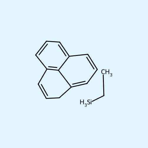 C1=Cc2cccc3cccc(c23)C1.CC[SiH3]